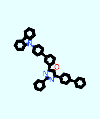 c1ccc(-c2ccc(-c3nc(-c4ccccc4)nc4c3oc3ccc(-c5ccc(-n6c7ccccc7c7ccccc76)cc5)cc34)cc2)cc1